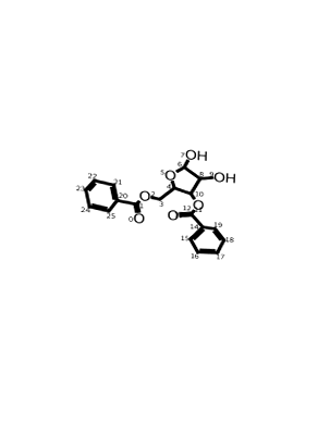 O=C(OCC1OC(O)C(O)C1OC(=O)c1ccccc1)c1ccccc1